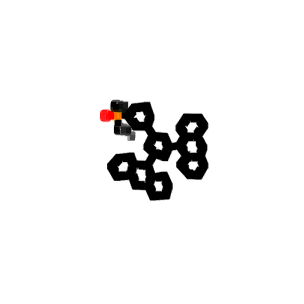 CP(C)(=O)c1cccc(-c2cc(-c3c4ccccc4cc4ccccc34)cc(-c3c4ccccc4cc4ccccc34)c2)c1